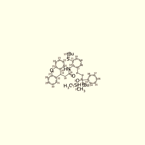 C[SiH](C)OC(CCc1cccc(SC(C)(C)C)c1NC(=O)CC1c2ccccc2Oc2ccccc21)(c1ccccc1)C(C)(C)C